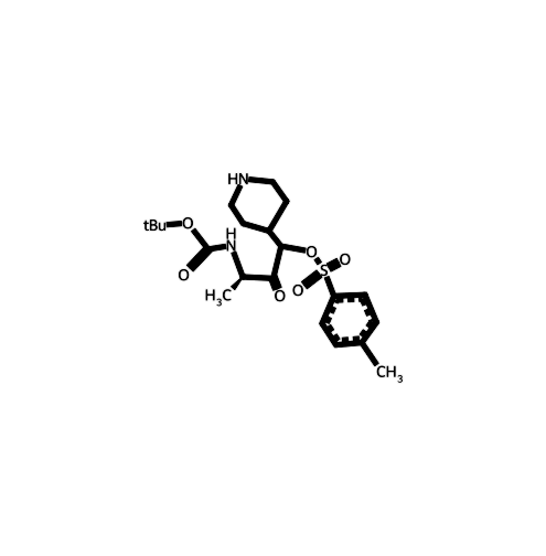 Cc1ccc(S(=O)(=O)OC(C(=O)[C@@H](C)NC(=O)OC(C)(C)C)C2CCNCC2)cc1